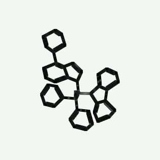 C1=C[CH]([Zr](=[C](c2ccccc2)c2ccccc2)[CH]2c3ccccc3-c3ccccc32)c2cccc(-c3ccccc3)c21